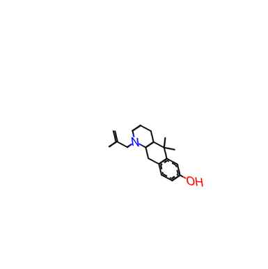 C=C(C)CN1CCCC2C1Cc1ccc(O)cc1C2(C)C